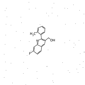 Cc1ccccc1-c1nc2cc(F)ccc2cc1CO